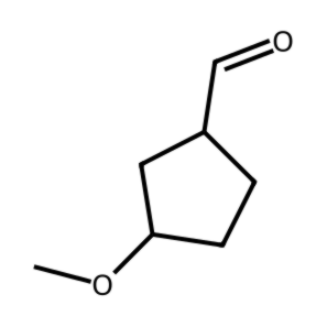 COC1CCC(C=O)C1